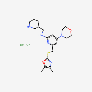 Cc1nc(SCc2cc(N3CCOCC3)cc(NCC3CCCNC3)n2)oc1C.Cl.Cl